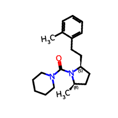 Cc1ccccc1CC[C@H]1CC[C@@H](C)N1C(=O)N1CCCCC1